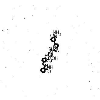 Nc1nc2cc(-c3ccc4ncc(C(=O)N5CCN(C(=O)c6cc(Cc7n[nH]c(=O)c8ccccc78)ccc6F)C(O)C5)n4c3)ccc2o1